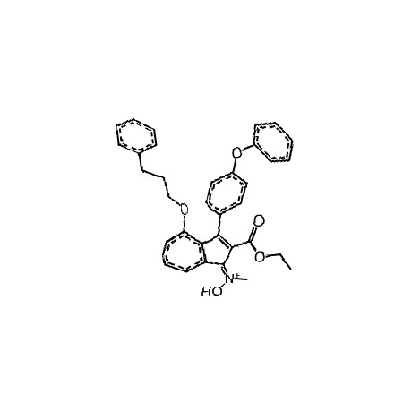 CCOC(=O)C1=C(c2ccc(Oc3ccccc3)cc2)c2c(OCCCc3ccccc3)cccc2/C1=[N+](/C)O